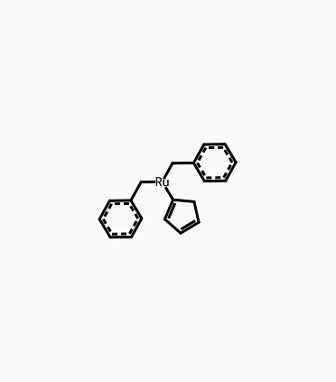 C1=CC[C]([Ru]([CH2]c2ccccc2)[CH2]c2ccccc2)=C1